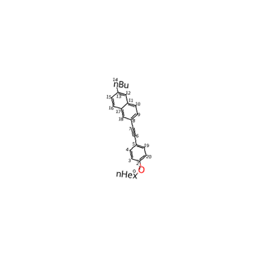 CCCCCCOc1ccc(C#Cc2ccc3cc(CCCC)ccc3c2)cc1